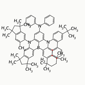 Cc1cc2c(cc1N1c3cc4c(cc3B3c5cc6c(cc5N(c5ccc(C(C)(C)C)cc5-c5ccccc5)c5cc(N(c7ccccc7)c7ccccc7)cc1c53)C(C)(C)CCC6(C)C)C(C)(C)CC4(C)C)C(C)(C)CC2(C)C